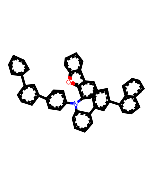 c1ccc(-c2cccc(-c3ccc(N(c4ccccc4-c4cccc(-c5cccc6ccccc56)c4)c4cccc5c4oc4ccccc45)cc3)c2)cc1